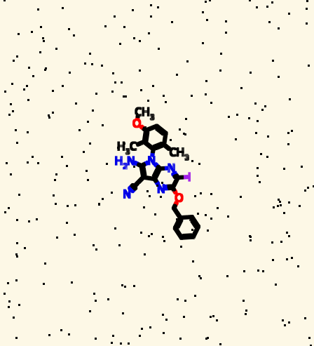 COc1ccc(C)c(-n2c(N)c(C#N)c3nc(OCc4ccccc4)c(I)nc32)c1C